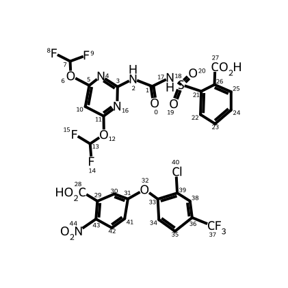 O=C(Nc1nc(OC(F)F)cc(OC(F)F)n1)NS(=O)(=O)c1ccccc1C(=O)O.O=C(O)c1cc(Oc2ccc(C(F)(F)F)cc2Cl)ccc1[N+](=O)[O-]